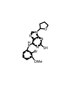 COc1cccc(Nc2nc(S)nc3c2ncn3C2CCCO2)c1Br